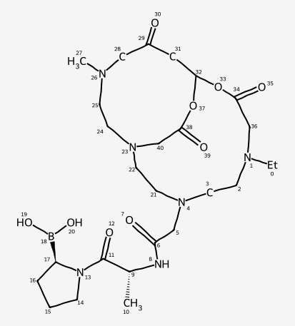 CCN1CCN(CC(=O)N[C@H](C)C(=O)N2CCC[C@H]2B(O)O)CCN2CCN(C)CC(=O)CC(OC(=O)C1)OC(=O)C2